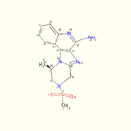 C[C@@H]1CN(S(C)(=O)=O)Cc2nc3c(N)nc4ccccc4c3n21